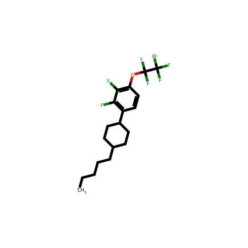 CCCCCC1CCC(c2ccc(OC(F)(F)C(F)(F)Br)c(F)c2F)CC1